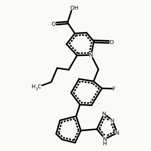 CCCCc1cc(C(=O)O)cc(=O)n1Cc1ccc(-c2ccccc2-c2nnn[nH]2)cc1F